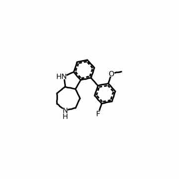 COc1ccc(F)cc1-c1cccc2c1C1CCNCCC1N2